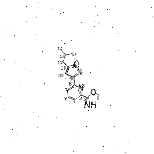 COC(=N)c1cccc(-c2cc(CC(C)C)on2)n1